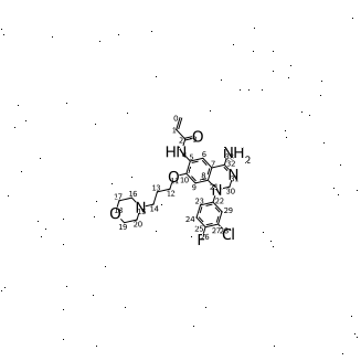 C=CC(=O)Nc1cc2c(cc1OCCCN1CCOCC1)N(c1ccc(F)c(Cl)c1)CN=C2N